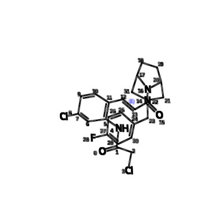 O=C(CCl)Nc1cc(Cl)ccc1/C=C/C(=O)N1C2CCC1CN(Cc1ccc(F)cc1)C2